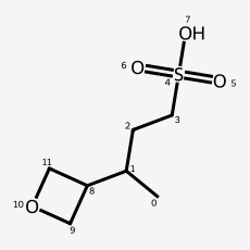 CC(CCS(=O)(=O)O)C1COC1